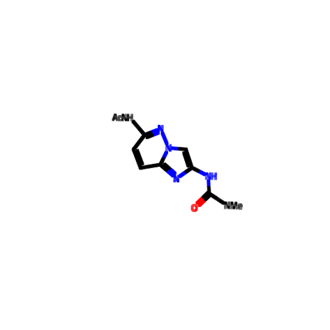 CNC(=O)Nc1cn2nc(NC(C)=O)ccc2n1